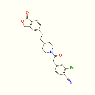 N#Cc1ccc(CC(=O)N2CCC(CCc3ccc4c(c3)COC4=O)CC2)cc1Br